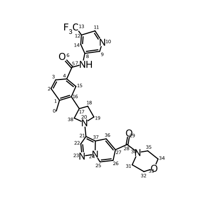 Cc1ccc(C(=O)Nc2cncc(C(F)(F)F)c2)cc1C1CCN(c2cnn3ccc(C(=O)N4CCOCC4)cc23)C1